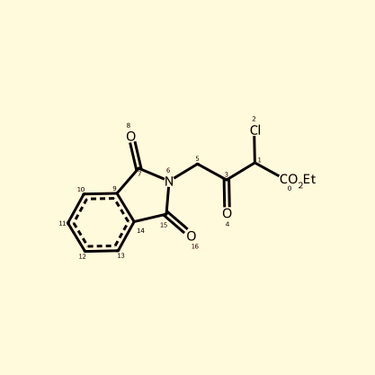 CCOC(=O)C(Cl)C(=O)CN1C(=O)c2ccccc2C1=O